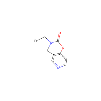 CC(C)CN1Cc2cnccc2OC1=O